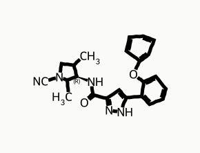 CC1CN(C#N)C(C)[C@@H]1NC(=O)c1cc(-c2ccccc2Oc2ccccc2)[nH]n1